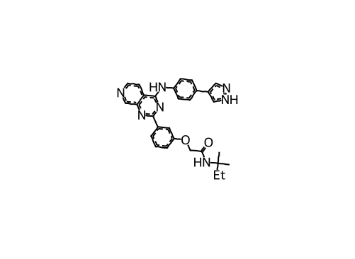 CCC(C)(C)NC(=O)COc1cccc(-c2nc(Nc3ccc(-c4cn[nH]c4)cc3)c3ccncc3n2)c1